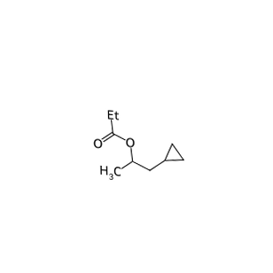 CCC(=O)OC(C)CC1CC1